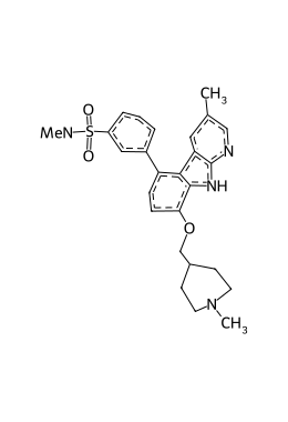 CNS(=O)(=O)c1cccc(-c2ccc(OCC3CCN(C)CC3)c3[nH]c4ncc(C)cc4c23)c1